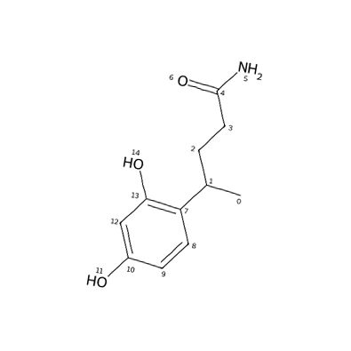 CC(CCC(N)=O)c1ccc(O)cc1O